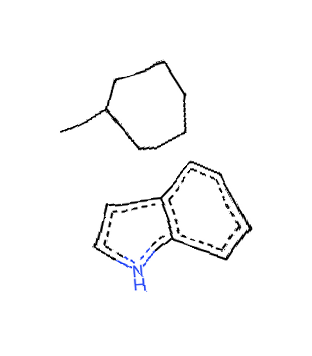 CC1CCCCC1.c1ccc2[nH]ccc2c1